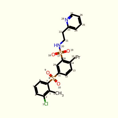 Cc1c(Cl)cccc1S(=O)(=O)c1ccc(C(C)C)c(S(=O)(=O)NCCc2ccccn2)c1